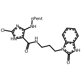 CCCCCNc1nc(Cl)[nH]c1C(=O)NCCCn1c(=O)[nH]c2ccccc21